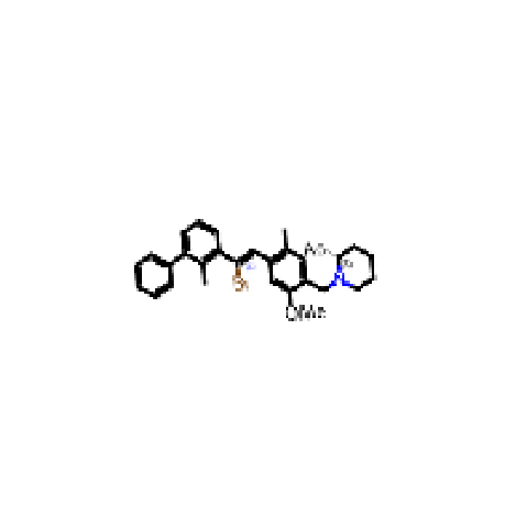 COc1cc(/C=C(\Br)c2cccc(-c3ccccc3)c2C)c(C)cc1CN1CCCC[C@H]1C(C)=O